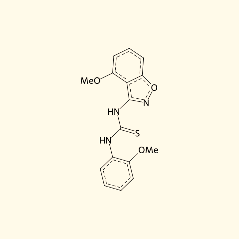 COc1ccccc1NC(=S)Nc1noc2cccc(OC)c12